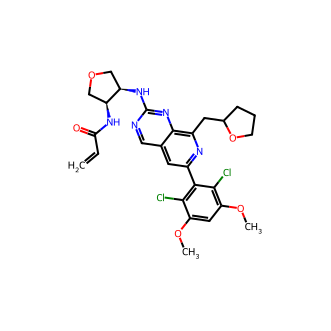 C=CC(=O)N[C@H]1COC[C@H]1Nc1ncc2cc(-c3c(Cl)c(OC)cc(OC)c3Cl)nc(CC3CCCO3)c2n1